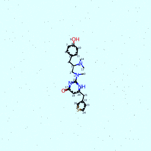 CN(C[C@@H](Cc1ccc(O)cc1)N(C)C)c1nc(=O)cc(Cc2ccsc2)[nH]1